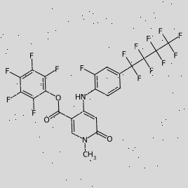 Cn1cc(C(=O)Oc2c(F)c(F)c(F)c(F)c2F)c(Nc2ccc(C(F)(F)C(F)(F)C(F)(F)C(F)(F)F)cc2F)cc1=O